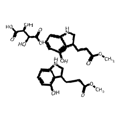 COC(=O)CCC1CNc2cccc(O)c21.COC(=O)CCC1CNc2cccc(O)c21.O=C(O)C(O)C(O)C(=O)O